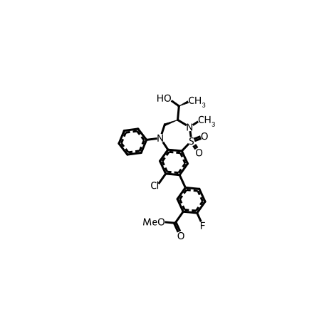 COC(=O)c1cc(-c2cc3c(cc2Cl)N(c2ccccc2)C[C@@H]([C@H](C)O)N(C)S3(=O)=O)ccc1F